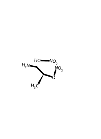 C[C@@H](CN)O[N+](=O)[O-].O=[N+]([O-])O